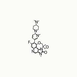 CN(C)C1CCN(C2C=CC(c3c(F)cc4ncc5c6c4c3OCC3(COC3)n6c(=O)n5C)=CN2C)CC1